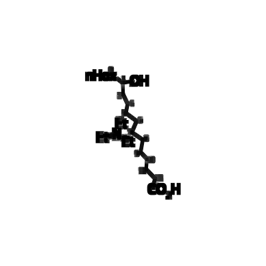 CCCCCCC(O)CCCCCCCCCCC(=O)O.CCN(CC)CC